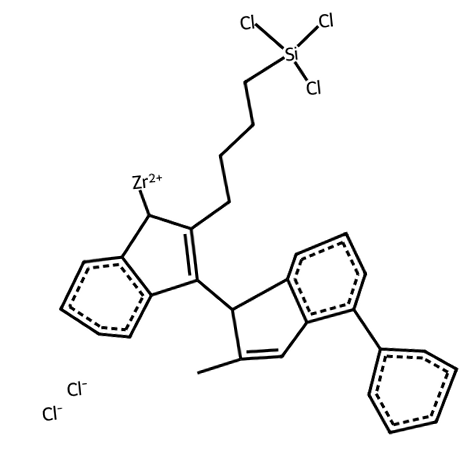 CC1=Cc2c(-c3ccccc3)cccc2C1C1=C(CCCC[Si](Cl)(Cl)Cl)[CH]([Zr+2])c2ccccc21.[Cl-].[Cl-]